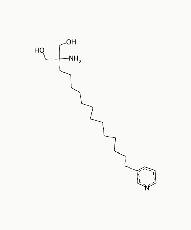 NC(CO)(CO)CCCCCCCCCCCCCc1cccnc1